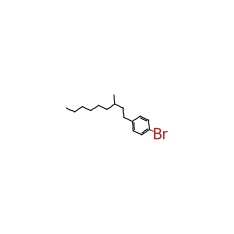 CCCCCCC(C)CCc1ccc(Br)cc1